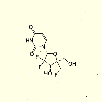 O=c1ccn([C@@H]2O[C@@](CO)(CF)[C@@H](O)C2(F)F)c(=O)[nH]1